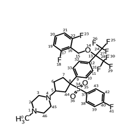 CN1CCN(C2CCC(c3ccc(C(OCc4c(F)cccc4F)(C(F)(F)F)C(F)(F)F)cc3)(S(=O)(=O)c3ccc(F)cc3)C2)CC1